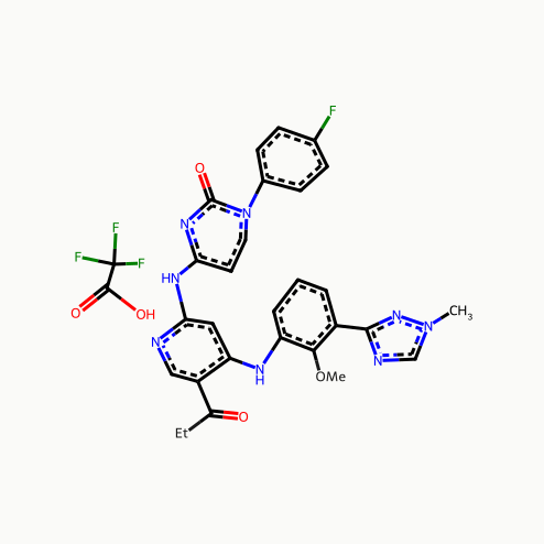 CCC(=O)c1cnc(Nc2ccn(-c3ccc(F)cc3)c(=O)n2)cc1Nc1cccc(-c2ncn(C)n2)c1OC.O=C(O)C(F)(F)F